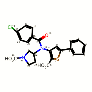 O=C(O)c1sc(-c2ccccc2)cc1N(C(=O)c1ccc(Cl)cc1)C1CCN(C(=O)O)C1